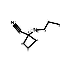 CCCNC1(C#N)CCC1